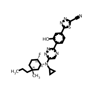 CCC[C@]1(C)CC[C@H](F)[C@H](N(c2cnc(-c3ccc(-c4nnc(C#N)s4)cc3O)nn2)C2CC2)C1